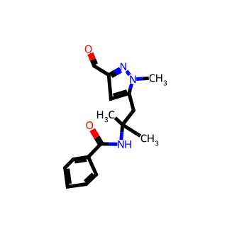 Cn1nc(C=O)cc1CC(C)(C)NC(=O)c1ccccc1